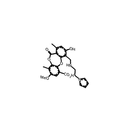 COc1cc(C(=O)O)c2c(c1C)OC(=O)c1c(C)cc(O)c(CNCCn3cccc3)c1O2